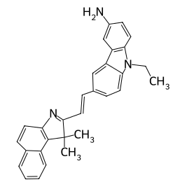 CCn1c2ccc(N)cc2c2cc(/C=C/C3=Nc4ccc5ccccc5c4C3(C)C)ccc21